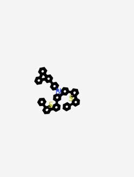 c1ccc(-c2cccc3c2sc2c(-c4ccc5c(c4)c4cc(-c6cccc7c6sc6c(-c8ccccc8)cccc67)ccc4n5-c4ccc(-c5ccc6c7ccccc7c7ccccc7c6c5)cc4)cccc23)cc1